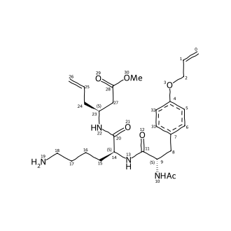 C=CCOc1ccc(C[C@H](NC(C)=O)C(=O)N[C@@H](CCCCN)C(=O)N[C@@H](CC=C)CC(=O)OC)cc1